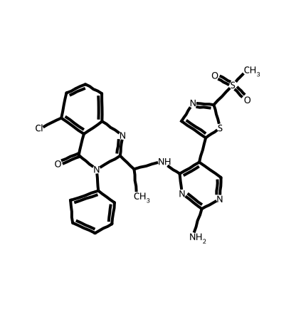 CC(Nc1nc(N)ncc1-c1cnc(S(C)(=O)=O)s1)c1nc2cccc(Cl)c2c(=O)n1-c1ccccc1